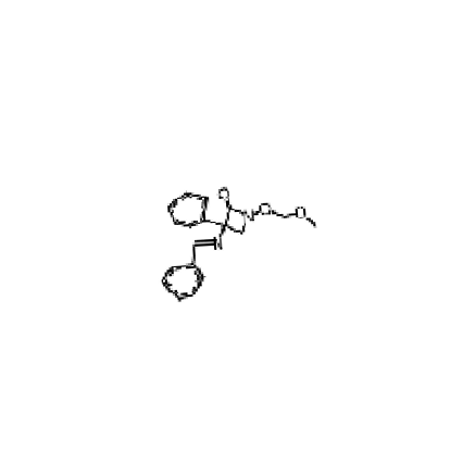 COCON1CC(N=Cc2ccccc2)(c2ccccc2)C1=O